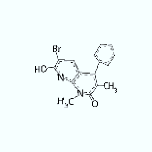 Cc1c(-c2ccccc2)c2cc(Br)c(O)nc2n(C)c1=O